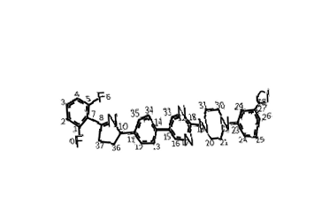 Fc1cccc(F)c1C1=NC(c2ccc(-c3cnc(N4CCN(c5cccc(Cl)c5)CC4)nc3)cc2)CC1